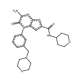 Nc1nc2sc(C(=O)NC3CCOCC3)cc2n(-c2cccc(CN3CCOCC3)c2)c1=O